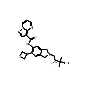 CC(C)(O)[C@H](F)CN1Cc2cc(NC(=O)c3cnn4cccnc34)c(C3COC3)cc2C1